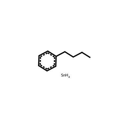 CCCCc1ccccc1.[SnH4]